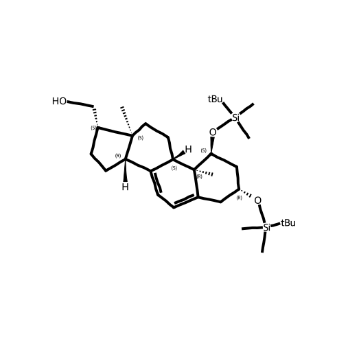 CC(C)(C)[Si](C)(C)O[C@@H]1CC2=CC=C3[C@@H]4CC[C@H](CO)[C@@]4(C)CC[C@@H]3[C@@]2(C)[C@@H](O[Si](C)(C)C(C)(C)C)C1